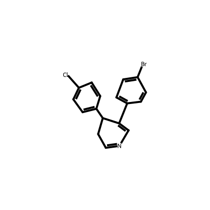 Clc1ccc(C2CC=NC=C2c2ccc(Br)cc2)cc1